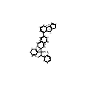 CC(c1ccccc1)C(N)(C1=CCCC=C1)C1C=c2ccc(-c3cccc4c3CC3=C4C=CC3)cc2=CC1